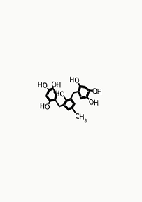 Cc1cc(Cc2cc(O)c(O)cc2O)c(O)c(Cc2cc(O)c(O)cc2O)c1